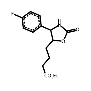 CCOC(=O)CCCC1OC(=O)NC1c1ccc(F)cc1